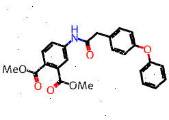 COC(=O)c1ccc(NC(=O)Cc2ccc(Oc3ccccc3)cc2)cc1C(=O)OC